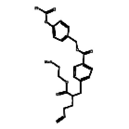 C=CCCC(Cc1ccc(C(=O)OCc2ccc(OC(=O)C(C)C)cc2)cc1)C(=O)OCCSC